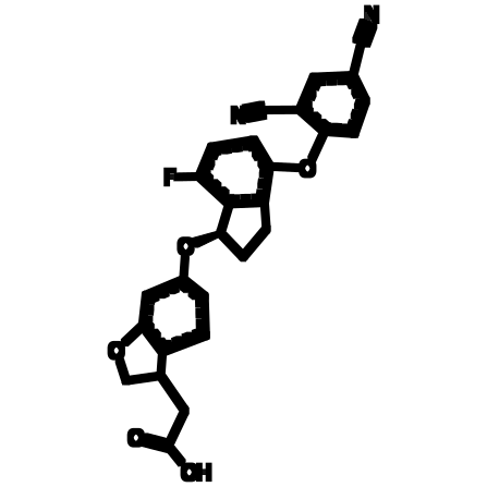 N#Cc1ccc(Oc2ccc(F)c3c2CC[C@H]3Oc2ccc3c(c2)OCC3CC(=O)O)c(C#N)c1